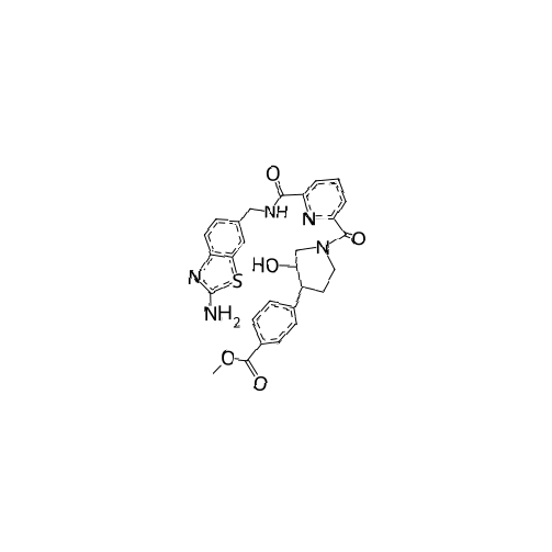 COC(=O)c1ccc(C2CCN(C(=O)c3cccc(C(=O)NCc4ccc5nc(N)sc5c4)n3)CC2O)cc1